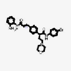 Nc1ccccc1NC(=O)/C=C/c1ccc(C(CCN2CCOCC2)C(=O)Nc2ccc(Br)cc2)cc1